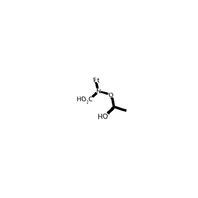 CCN(OC(C)O)C(=O)O